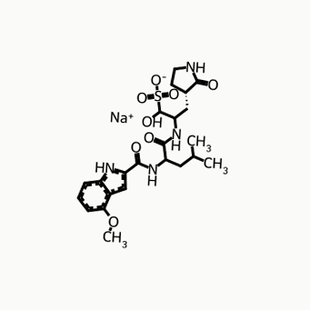 COc1cccc2[nH]c(C(=O)NC(CC(C)C)C(=O)NC(C[C@@H]3CCNC3=O)C(O)S(=O)(=O)[O-])cc12.[Na+]